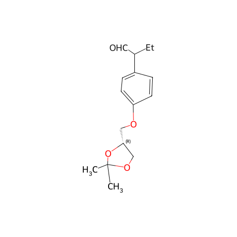 CCC(C=O)c1ccc(OC[C@@H]2COC(C)(C)O2)cc1